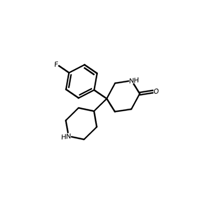 O=C1CCC(c2ccc(F)cc2)(C2CCNCC2)CN1